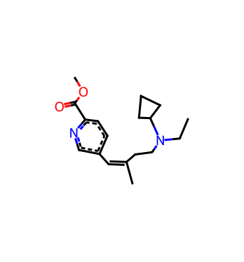 CCN(CC/C(C)=C\c1ccc(C(=O)OC)nc1)C1CCC1